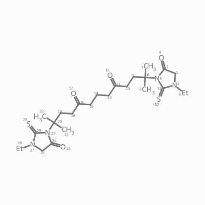 CCN1CC(=O)N(C(C)(C)CCC(=O)CCCC(=O)CCC(C)(C)N2C(=O)CN(CC)C2=S)C1=S